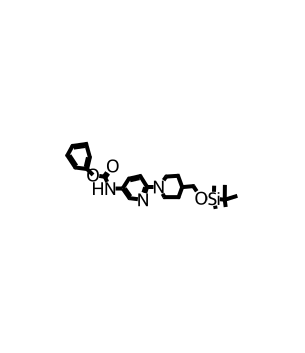 CC(C)(C)[Si](C)(C)OCC1CCN(c2ccc(NC(=O)Oc3ccccc3)cn2)CC1